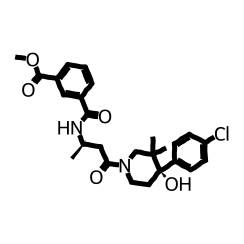 COC(=O)c1cccc(C(=O)N[C@H](C)CC(=O)N2CC[C@](O)(c3ccc(Cl)cc3)C(C)(C)C2)c1